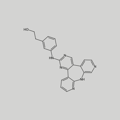 OCCc1cccc(Nc2ncc3c(n2)-c2cccnc2Nc2cnccc2-3)c1